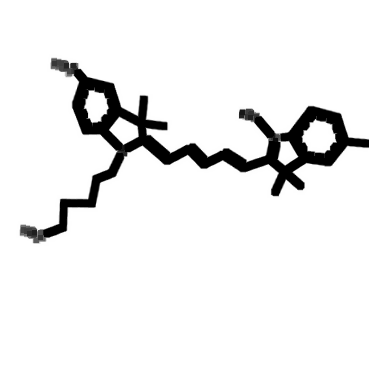 CCCC[N+]1=C(/C=C/C=C/C=C2/N(CCCCCC(=O)O)c3ccc(S(=O)(=O)O)cc3C2(C)C)C(C)(C)c2cc(C)ccc21